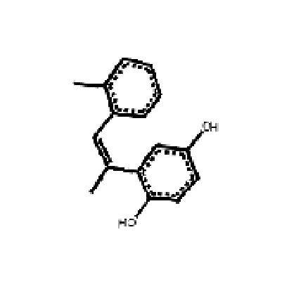 CC(=Cc1ccccc1C)c1cc(O)ccc1O